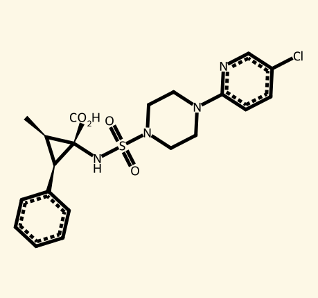 C[C@@H]1[C@H](c2ccccc2)[C@]1(NS(=O)(=O)N1CCN(c2ccc(Cl)cn2)CC1)C(=O)O